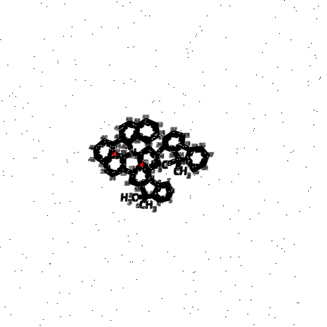 CC1(C)c2ccccc2-c2ccc(-c3ccccc3N(c3cccc(-c4cccc5c4C(C)(C)c4ccccc4-5)c3)c3c(-c4ccccc4)ccc4ccccc34)cc21